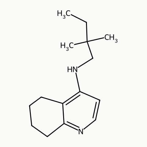 CCC(C)(C)CNc1ccnc2c1CCCC2